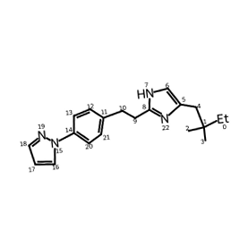 CCC(C)(C)Cc1c[nH]c(CCc2ccc(-n3cccn3)cc2)n1